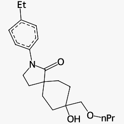 CCCOCC1(O)CCC2(CCN(c3ccc(CC)cc3)C2=O)CC1